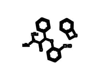 CCCCN(CCCC)C(=O)C(Oc1ccccc1C=O)c1ccccc1.c1ccc2c(c1)CO2